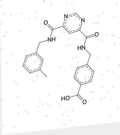 Cc1cccc(CNC(=O)c2cc(C(=O)NCc3ccc(C(=O)O)cc3)ncn2)c1